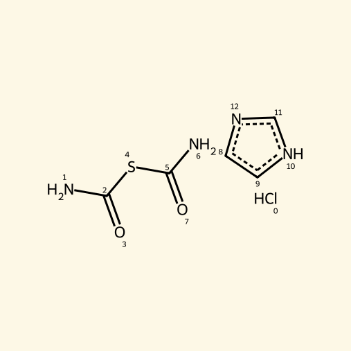 Cl.NC(=O)SC(N)=O.c1c[nH]cn1